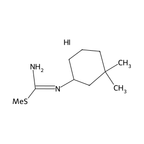 CSC(N)=NC1CCCC(C)(C)C1.I